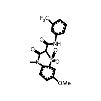 COc1ccc2c(c1)S(=O)(=O)C(C(=O)Nc1cccc(C(F)(F)F)c1)C(=O)N2C